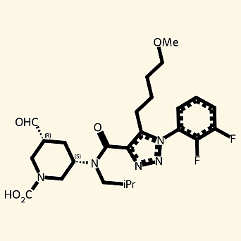 COCCCCc1c(C(=O)N(CC(C)C)[C@H]2C[C@@H](C=O)CN(C(=O)O)C2)nnn1-c1cccc(F)c1F